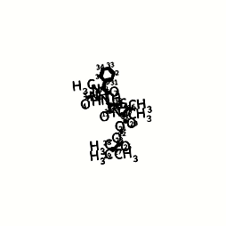 CN(NC=O)[C@@H](C(=O)N[C@H]1C(=O)N2[C@@H]1SC(C)(C)[C@@H]2C(=O)OCOC(=O)C(C)(C)C)c1ccccc1